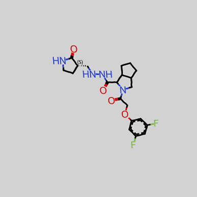 O=C(NNC[C@@H]1CCNC1=O)C1C2CCCC2CN1C(=O)COc1cc(F)cc(F)c1